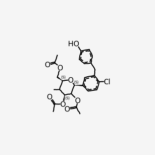 CC(=O)OC[C@H]1O[C@@H](c2ccc(Cl)c(Cc3ccc(O)cc3)c2)C(OC(C)=O)[C@@H](OC(C)=O)C1C